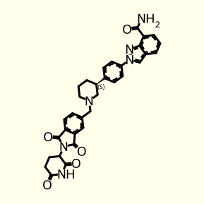 NC(=O)c1cccc2cn(-c3ccc([C@@H]4CCCN(Cc5ccc6c(c5)C(=O)N(C5CCC(=O)NC5=O)C6=O)C4)cc3)nc12